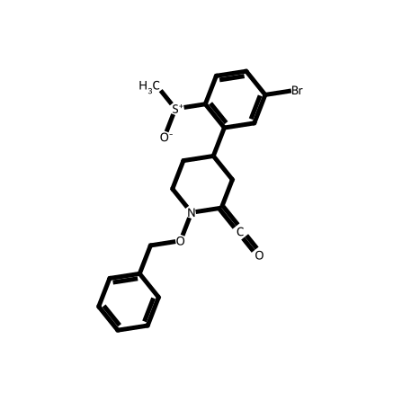 C[S+]([O-])c1ccc(Br)cc1C1CCN(OCc2ccccc2)C(=C=O)C1